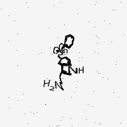 NCCc1c[nH]c2ccc(CS(=O)(=O)Oc3ccccc3)cc12